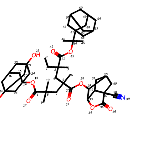 CCC(C)(CC(C)(CC(C)(C)C(=O)OC12CC3CC(O)(CC(O)(C3)C1)C2)C(=O)OC1C2CC3C1OC(=O)C3(C#N)C2)C(=O)OC(C)(C)C12CC3CC(CC(C3)C1)C2